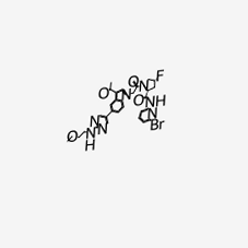 COCCNc1ncc(-c2ccc3c(c2)c(C(C)=O)cn3CC(=O)N2C[C@H](F)C[C@H]2C(=O)Nc2cccc(Br)n2)cn1